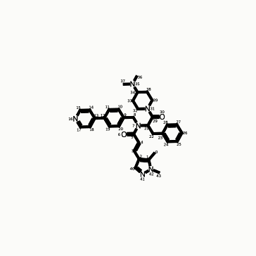 Cc1c(C=CC(=O)N(Cc2ccc(-c3ccncc3)cc2)C(Cc2ccccc2)C(=O)N2CCC(N(C)C)CC2)cnn1C